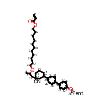 C=CC(=O)OCCCCCCCCCCCOC(C)CC1(C#N)CCCC(c2ccc(-c3ccc(OC(C)CCC)cc3)cc2)C1